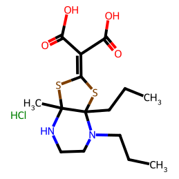 CCCN1CCNC2(C)SC(=C(C(=O)O)C(=O)O)SC12CCC.Cl